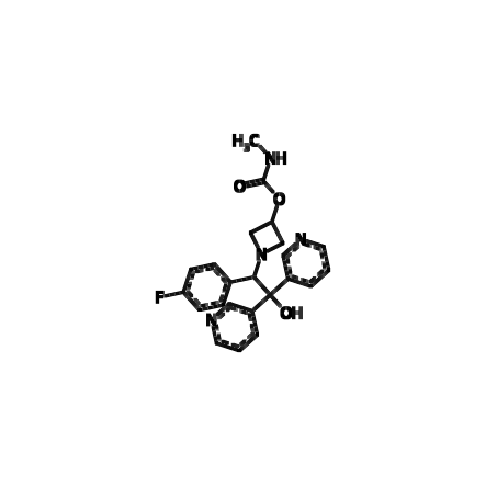 CNC(=O)OC1CN(C(c2ccc(F)cc2)C(O)(c2cccnc2)c2cccnc2)C1